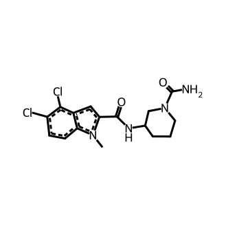 Cn1c(C(=O)NC2CCCN(C(N)=O)C2)cc2c(Cl)c(Cl)ccc21